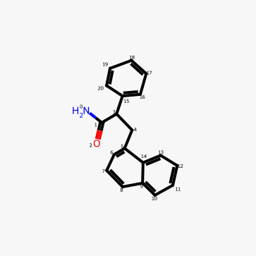 NC(=O)C(Cc1cccc2ccccc12)c1ccccc1